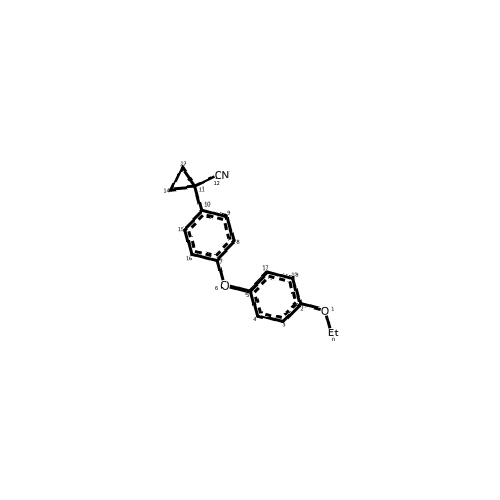 CCOc1ccc(Oc2ccc(C3(C#N)CC3)cc2)cc1